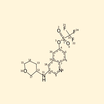 O=S(=O)(Oc1ccc2ncc(NC3CCCOC3)cc2c1)C(F)(F)F